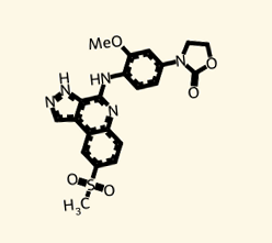 COc1cc(N2CCOC2=O)ccc1Nc1nc2ccc(S(C)(=O)=O)cc2c2cn[nH]c12